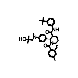 Cc1ccc(C(=O)N2CCCC(C(=O)Nc3cccc(C(C)(C)C)c3)[C@@H]2c2ccc(N(C)CC(C)(C)O)cc2)c(F)c1